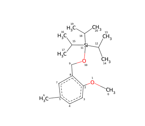 COc1ccc(C)cc1CO[Si](C(C)C)(C(C)C)C(C)C